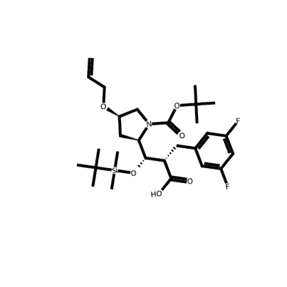 C=CCO[C@@H]1C[C@H]([C@@H](O[Si](C)(C)C(C)(C)C)[C@H](Cc2cc(F)cc(F)c2)C(=O)O)N(C(=O)OC(C)(C)C)C1